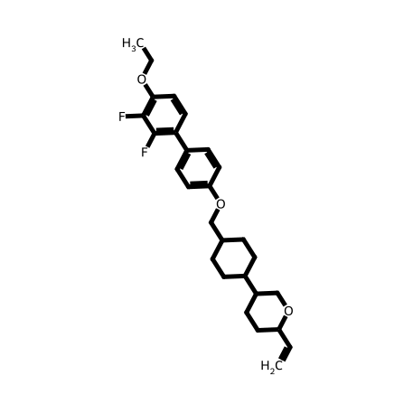 C=CC1CCC(C2CCC(COc3ccc(-c4ccc(OCC)c(F)c4F)cc3)CC2)CO1